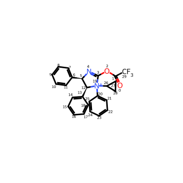 O=C(OC1=N[C@H](c2ccccc2)[C@H](c2ccccc2)[N+]1(c1ccccc1)C1CC1)C(F)(F)F